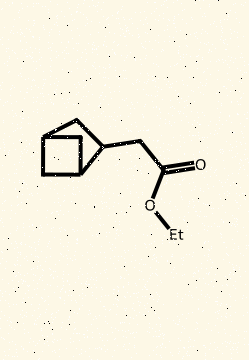 CCOC(=O)CC1CC2CC1C2